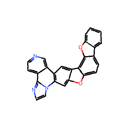 c1ccc2c(c1)oc1c2ccc2oc3cc4c(cc3c21)c1cnccc1c1nccn41